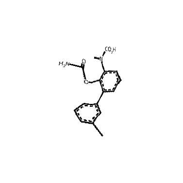 Cc1cccc(-c2cccc(N(C)C(=O)O)c2OC(N)=O)c1